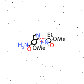 CC[C@H]1[C@@H](COc2nccc3cc(C(N)=O)c(OC)cc23)NC(=O)[C@@H]1OC